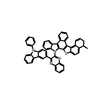 CC1CC=Cc2c1ccc1sc3c(c4ccccc4c4c5ccccc5n(-c5nc6ccccc6nc5-c5ccc6c(c5)c5ccccc5n6-c5ccccc5)c34)c21